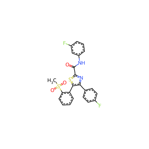 CS(=O)(=O)c1ccccc1-c1sc(C(=O)Nc2cccc(F)c2)nc1-c1ccc(F)cc1